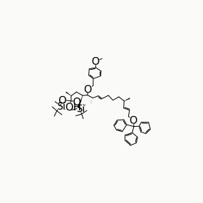 COc1ccc(CO[C@@H]([C@@H](C)C=CCCC[C@@H](C)C=CCOC(c2ccccc2)(c2ccccc2)c2ccccc2)[C@@H](C)C[C@H](C)C(O)(O[Si](C)(C)C(C)(C)C)O[Si](C)(C)C(C)(C)C)cc1